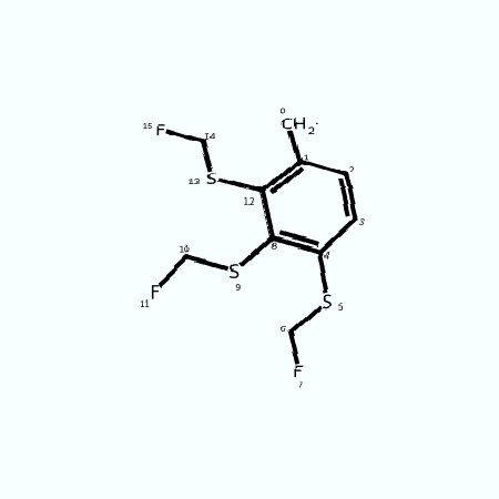 [CH2]c1ccc(SCF)c(SCF)c1SCF